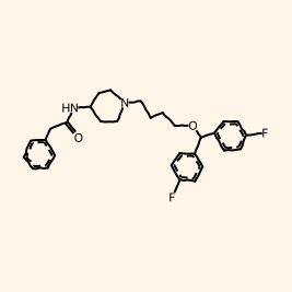 O=C(Cc1ccccc1)NC1CCN(CCCCOC(c2ccc(F)cc2)c2ccc(F)cc2)CC1